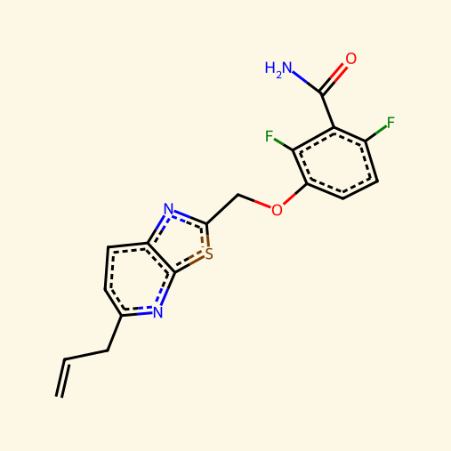 C=CCc1ccc2nc(COc3ccc(F)c(C(N)=O)c3F)sc2n1